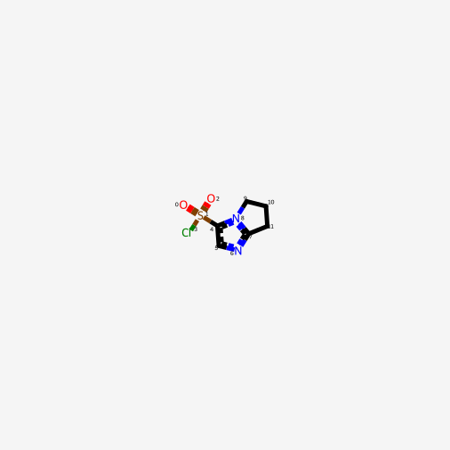 O=S(=O)(Cl)c1cnc2n1CCC2